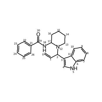 C=CC(c1c[nH]c2ccccc12)N1CCCCC1NC(=O)c1ccccc1